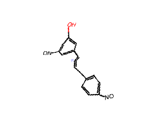 O=Nc1ccc(/C=C/c2cc(O)cc(N=O)c2)cc1